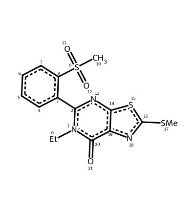 CCn1c(-c2ccccc2S(C)(=O)=O)nc2sc(SC)nc2c1=O